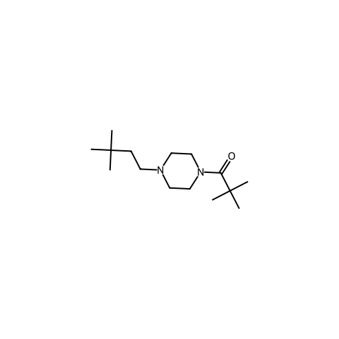 CC(C)(C)CCN1CCN(C(=O)C(C)(C)C)CC1